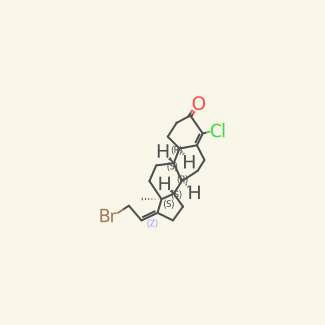 C[C@]12CC[C@H]3[C@@H](CCC4=C(Cl)C(=O)CC[C@@H]43)[C@@H]1CC/C2=C/CBr